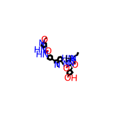 C=CCN1CC(=O)N2[C@H](CN(Cc3cccc4c(-c5ccc(NC(=O)Nc6ccc(OC)nc6)cc5)cn(C)c34)C(=O)[C@@H]2Cc2ccc(O)cc2)N1